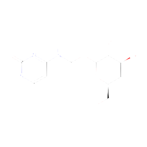 O=c1nc(NCOC2O[C@H](CO)[C@@H](O)[C@H](O)[C@H]2O)cc[nH]1